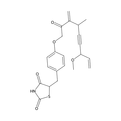 C=CC(C#CC(C)C(=C)C(=O)COc1ccc(CC2SC(=O)NC2=O)cc1)OC